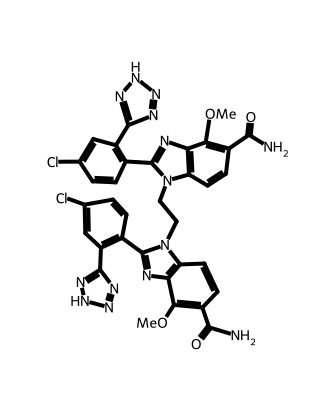 COc1c(C(N)=O)ccc2c1nc(-c1ccc(Cl)cc1-c1nn[nH]n1)n2CCn1c(-c2ccc(Cl)cc2-c2nn[nH]n2)nc2c(OC)c(C(N)=O)ccc21